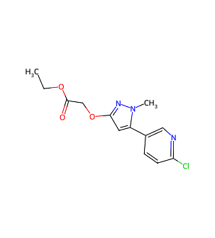 CCOC(=O)COc1cc(-c2ccc(Cl)nc2)n(C)n1